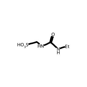 CCNC(=O)NCS(=O)(=O)O